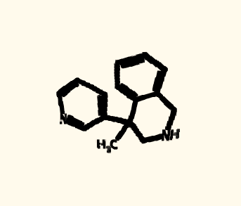 CC1(c2cccnc2)CNCc2ccccc21